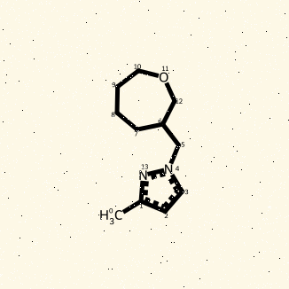 Cc1ccn(CC2CCCCOC2)n1